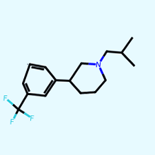 CC(C)CN1CCCC(c2c[c]cc(C(F)(F)F)c2)C1